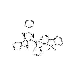 CC1(C)c2ccccc2-c2ccc3c(c21)c1ccccc1n3-c1nc(-c2ccccc2)nc2c1sc1ccccc12